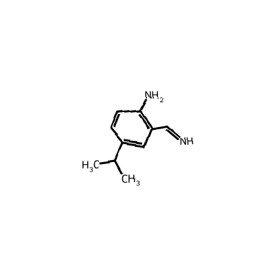 CC(C)c1ccc(N)c(C=N)c1